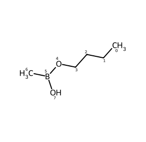 CCCCOB(C)O